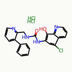 Cl.Cl.O=C(NCc1ncccc1-c1ccccc1)Nc1cc(Cl)c2cccnc2c1O